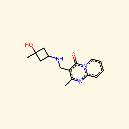 Cc1nc2ccccn2c(=O)c1CNC1CC(C)(O)C1